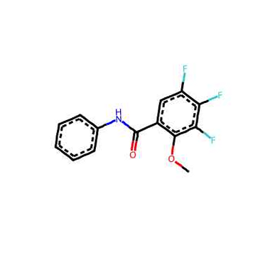 COc1c(C(=O)Nc2ccccc2)cc(F)c(F)c1F